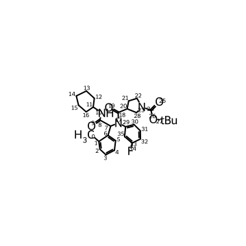 Cc1ccccc1C(C(=O)NC1CCCCC1)N(C(=O)C1CCN(C(=O)OC(C)(C)C)C1)c1cccc(F)c1